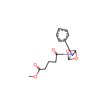 COC(=O)CCCC(=O)N1C2OC(O2)C1c1ccccc1